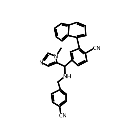 Cn1cncc1C(NCc1ccc(C#N)cc1)c1ccc(C#N)c(-c2cccc3ccccc23)c1